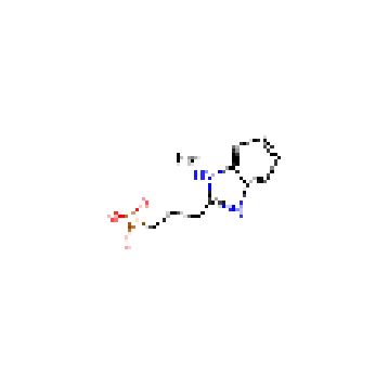 O=S(=O)([O-])CCCc1nc2ccccc2[nH]1.[Na+]